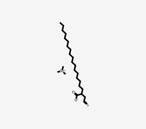 CCCCCCCCCCCCCCCCCCC(CC=S)C(=O)[O-].[CH3][Sn+]([CH3])[CH3]